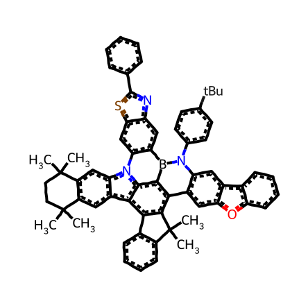 CC(C)(C)c1ccc(N2B3c4cc5nc(-c6ccccc6)sc5cc4-n4c5cc6c(cc5c5c7c(c(c3c54)-c3cc4oc5ccccc5c4cc32)C(C)(C)c2ccccc2-7)C(C)(C)CCC6(C)C)cc1